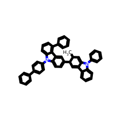 CC1C=c2c(c3ccccc3n2-c2ccccc2)=CC1c1ccc2c(c1)c1c(-c3ccccc3)cccc1n2-c1ccc(-c2ccccc2)cc1